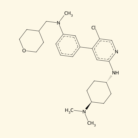 CN(CC1CCOCC1)c1cccc(-c2cc(N[C@H]3CC[C@H](N(C)C)CC3)ncc2Cl)c1